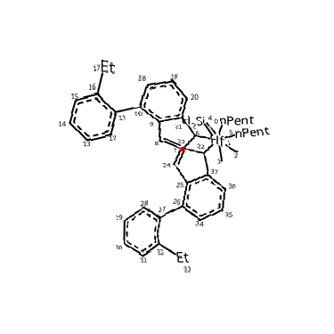 CCCC[CH2][Hf]([CH3])([CH3])(=[SiH2])([CH2]CCCC)([CH]1C=Cc2c(-c3ccccc3CC)cccc21)[CH]1C=Cc2c(-c3ccccc3CC)cccc21